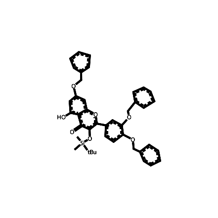 CC(C)(C)[Si](C)(C)Oc1c(-c2ccc(OCc3ccccc3)c(OCc3ccccc3)c2)oc2cc(OCc3ccccc3)cc(O)c2c1=O